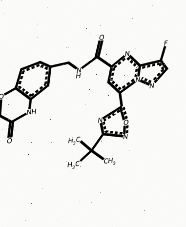 CC(C)(C)c1noc(-c2cc(C(=O)NCc3ccc4c(c3)NC(=O)CO4)nc3c(F)cnn23)n1